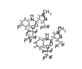 Cn1cc(C(=O)Nc2ccc(F)cc2OC(F)(F)C(F)C(F)(F)F)c(C(F)F)n1.Cn1cc(C(=O)Nc2ccccc2OC(F)(F)C(F)F)c(C(F)F)n1